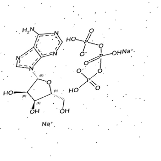 Nc1ncnc2c1ncn2[C@@H]1O[C@H](CO)[C@@H](O)[C@H]1O.O=P([O-])(O)OP(=O)(O)OP(=O)([O-])O.[Na+].[Na+]